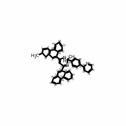 CC1C=Cc2c(cc(C3=CC(c4cc5ccccc5c5ccccc45)=NC(C)(c4ccc(-c5ccccn5)cc4)N3)c3ccccc23)C1